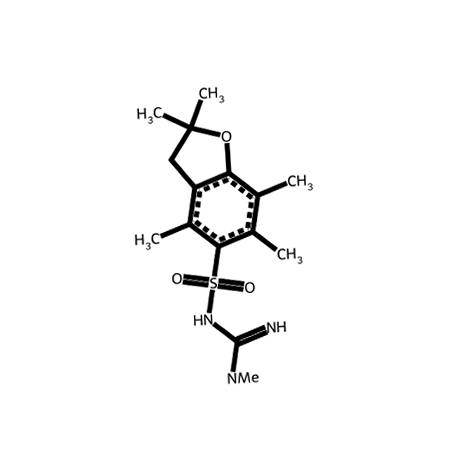 CNC(=N)NS(=O)(=O)c1c(C)c(C)c2c(c1C)CC(C)(C)O2